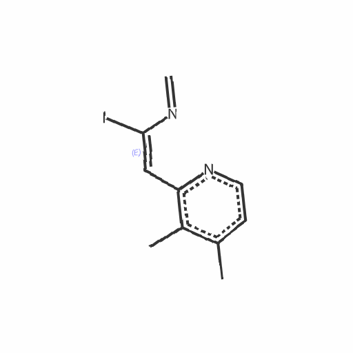 C=N/C(I)=C\c1nccc(C)c1C